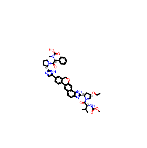 CCO[C@H]1C[C@@H](c2nc3ccc4cc5c(cc4c3[nH]2)OCc2cc(-c3cnc([C@@H]4CCCN4C(=O)[C@@H](c4ccccc4)N(C)C(=O)O)[nH]3)ccc2-5)N(C(=O)[C@@H](NC(=O)OC)C(C)C)C1